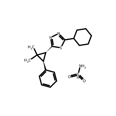 CC1(C)[C@H](c2ccccc2)[C@H]1c1nnc(C2CCCCC2)s1.N[SH](=O)=O